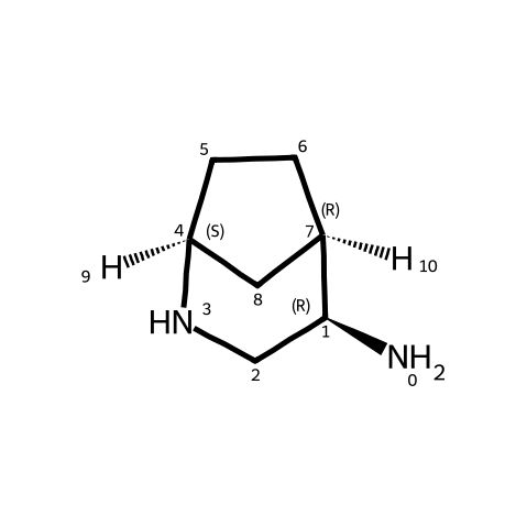 N[C@H]1CN[C@H]2CC[C@@H]1C2